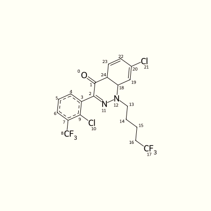 O=C1C(c2cccc(C(F)(F)F)c2Cl)=NN(CCCCC(F)(F)F)C2C=C(Cl)C=CC12